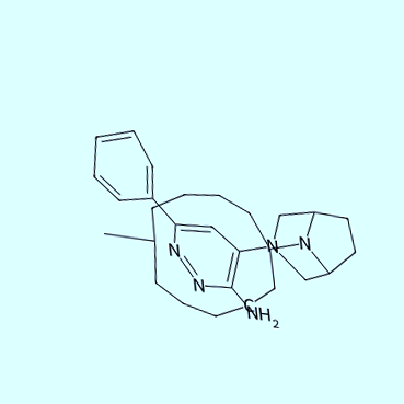 CC1CCCCCC(N2C3CCC2CN(c2cc(-c4ccccc4)nnc2N)C3)CCCC1